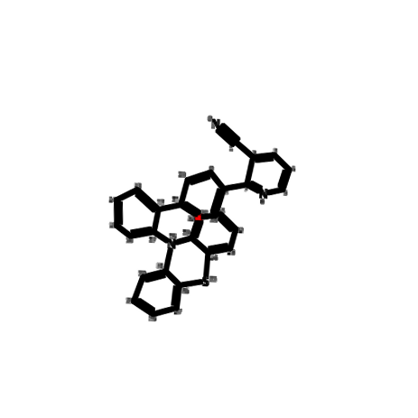 N#Cc1cccnc1-c1ccc(-c2ccccc2N2c3ccccc3Sc3ccccc32)cc1